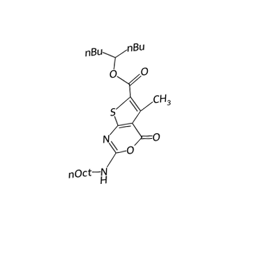 CCCCCCCCNc1nc2sc(C(=O)OC(CCCC)CCCC)c(C)c2c(=O)o1